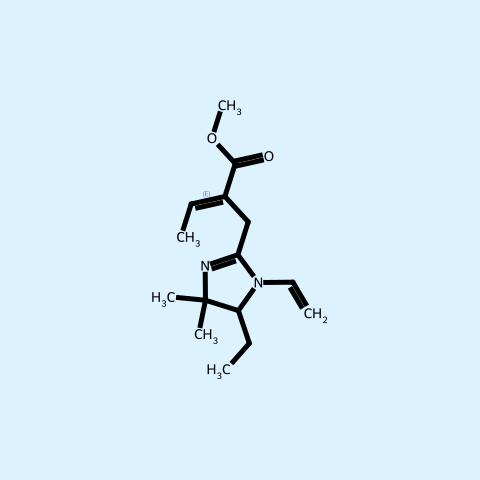 C=CN1C(C/C(=C\C)C(=O)OC)=NC(C)(C)C1CC